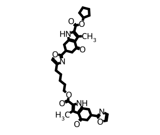 Cc1c(C(=O)OCCCCCc2coc(C3CC(=O)c4c([nH]c(C(=O)OC5CCCC5)c4C)C3)n2)[nH]c2c1C(=O)CC(c1ncco1)C2